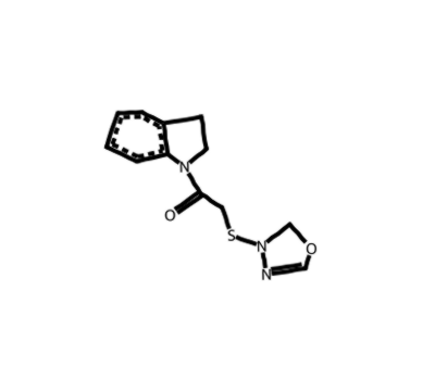 O=C(CSN1COC=N1)N1CCc2ccccc21